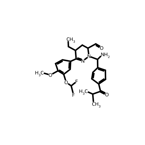 CCC1CC(C=O)N(C(N)c2ccc(C(=O)C(C)C)cc2)N=C1c1ccc(OC)c(OC(F)F)c1